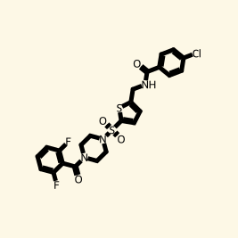 O=C(NCc1ccc(S(=O)(=O)N2CCN(C(=O)c3c(F)cccc3F)CC2)s1)c1ccc(Cl)cc1